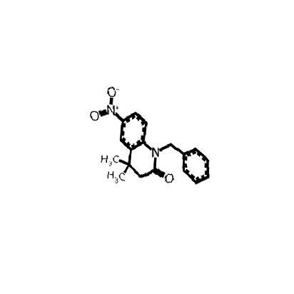 CC1(C)CC(=O)N(Cc2ccccc2)c2ccc([N+](=O)[O-])cc21